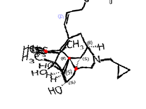 C#CC1=C(/C=C\COC)C[C@H]2N(CC3CC3)CC[C@@]13[C@H](O)[C@]1(O)CC[C@@]23C[C@@H]1[C@](C)(O)C(C)(C)C